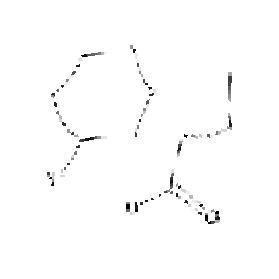 CCCC(=O)[O-].[Ni+][CH]1CCCCC1